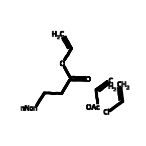 C=CCl.C=COC(=O)CCCCCCCCCCC.C=COC(C)=O